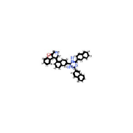 c1ccc2cc(C3=NC(c4ccc5ccccc5c4)NC(c4ccc5c(-c6cncc7oc8ccccc8c67)cccc5c4)N3)ccc2c1